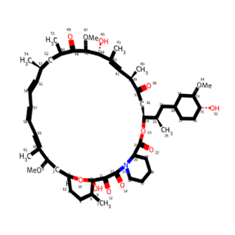 COC1C[C@@H]2CCC(C)C(O)(O2)C(=O)C(=O)N2CCCCC2C(=O)O[C@H]([C@H](C)CC2CC[C@@H](O)C(OC)C2)CC(=O)[C@H](C)/C=C(\C)[C@@H](O)C(OC)C(=O)C(C)C[C@H](C)/C=C/C=C/C=C/1C